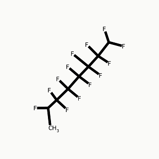 CC(F)C(F)(F)C(F)(F)C(F)(F)C(F)(F)C(F)(F)[C](F)F